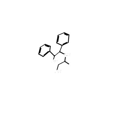 CC(CO)NC(c1ccccc1)C(O)c1ccccc1